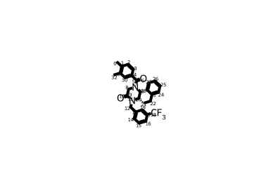 Cc1ccc(C(=O)N2CC(=O)N(Cc3cccc(C(F)(F)F)c3)[C@@H](CCc3ccccc3)C2)cc1C